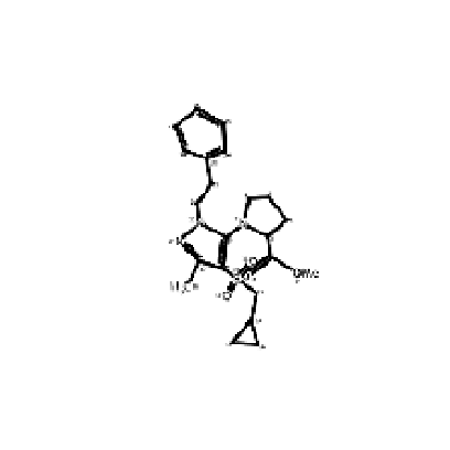 COC(=O)C1CCCN1c1c(S(=O)(=O)CC2CC2)c(C)nn1CCc1ccccc1